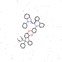 C/C=C\C(=C/C)C1(c2ccccc2)c2ccccc2-c2c1ccc1c2Oc2ccc(N(C(/C=C3\Cc4ccccc4N3c3ccccc3)=C/I)c3ccccc3-c3ccccc3)cc2O1